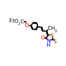 CCOC(=O)COc1ccc(/C=C/C(C)=C2/SC(=S)NC2=O)cc1